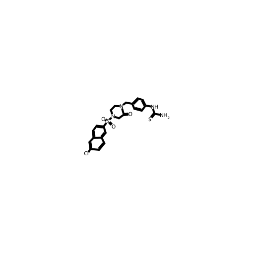 NC(=S)Nc1ccc(CN2CCN(S(=O)(=O)c3ccc4cc(Cl)ccc4c3)CC2=O)cc1